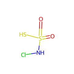 O=S(=O)(S)NCl